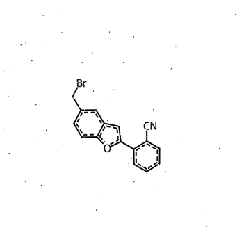 N#Cc1ccccc1-c1cc2cc(CBr)ccc2o1